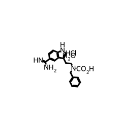 Cl.N=C(N)c1ccc2[nH]cc(CCN(Cc3ccccc3)C(=O)O)c2c1.O